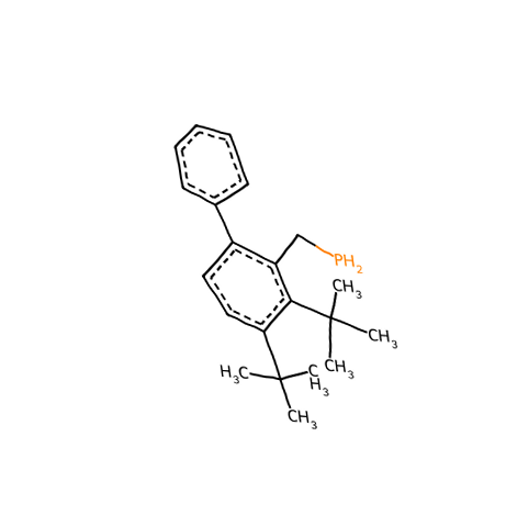 CC(C)(C)c1ccc(-c2ccccc2)c(CP)c1C(C)(C)C